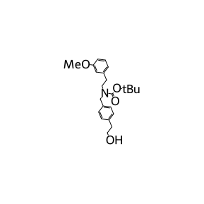 COc1cccc(CCN(Cc2ccc(CCO)cc2)C(=O)OC(C)(C)C)c1